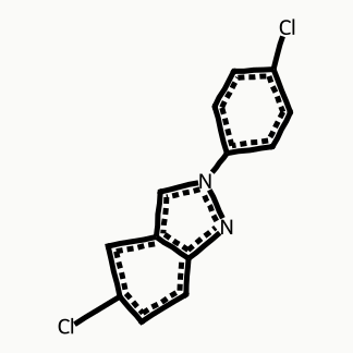 Clc1ccc(-n2cc3cc(Cl)ccc3n2)cc1